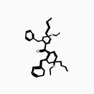 CCCCC1(OCC)C=CC(C(=O)C2=C(Cc3ccccc3)CC(CCCC)(OCC)C=C2)=C(Cc2ccccc2)C1